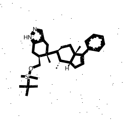 C[C@@H]1[C@@H]([C@@]2(C)Cc3cn[nH]c3C[C@@H]2CO[Si](C)(C)C(C)(C)C)CC[C@]2(C)C(c3ccccc3)=CC[C@@H]12